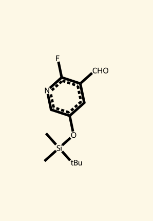 CC(C)(C)[Si](C)(C)Oc1cnc(F)c(C=O)c1